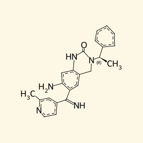 Cc1cc(C(=N)c2cc3c(cc2N)NC(=O)N([C@H](C)c2ccccc2)C3)ccn1